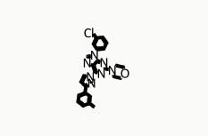 Cc1cccc(-c2ccn(-c3nc(N4CCOCC4)nc4c3ncn4-c3cccc(Cl)c3)n2)c1